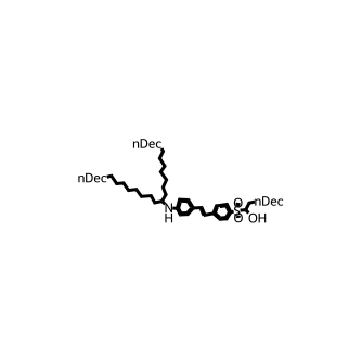 CCCCCCCCCCCCCCCCCCC(CCCCCCCCCCCCCCCCC)Nc1ccc(C=Cc2ccc(S(=O)(=O)C(O)CCCCCCCCCCC)cc2)cc1